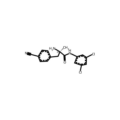 C[C@@](N)(Cc1ccc(C#N)cc1)C(=O)Nc1cc(Cl)cc(Cl)c1